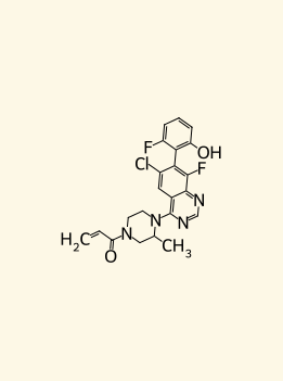 C=CC(=O)N1CCN(c2ncnc3c(F)c(-c4c(O)cccc4F)c(Cl)cc23)C(C)C1